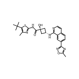 Cc1nc(-c2ccc3ccnc(N[C@H]4C[C@@](O)(C(=O)Nc5nc(C)c(C(C)(C)C)s5)C4)c3c2)no1